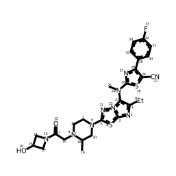 CCc1nc2sc(N3CCN(CC(=O)N4CC(O)C4)C(C)C3)nn2c1N(C)c1nc(-c2ccc(F)cc2)c(C#N)s1